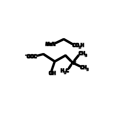 CNCC(=O)O.C[N+](C)(C)CC(O)CC(=O)[O-]